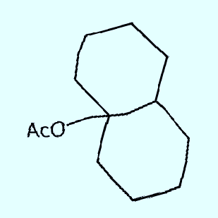 CC(=O)OC12CCCCC1CCCC2